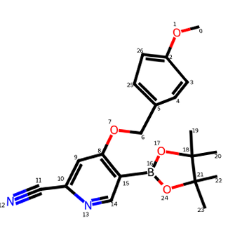 COc1ccc(COc2cc(C#N)ncc2B2OC(C)(C)C(C)(C)O2)cc1